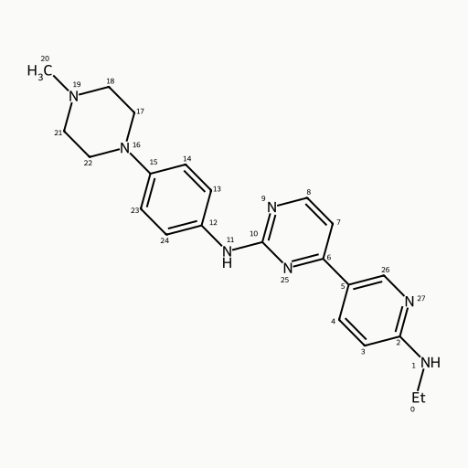 CCNc1ccc(-c2ccnc(Nc3ccc(N4CCN(C)CC4)cc3)n2)cn1